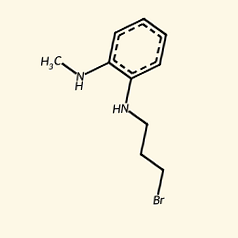 CNc1ccccc1NCCCBr